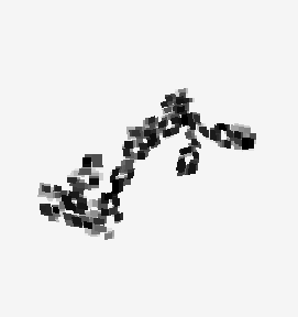 Cc1c(S(C)(=O)=O)c(-c2cc(F)cc(N3CCN(c4ccc(NS(=O)(=O)c5ccc(N[C@H](CCN6CCC(C)(O)CC6)CSc6ccccc6)c(S(=O)(=O)C(F)(F)F)c5)cc4)CC3)c2)c(-c2ccc(Cl)cc2)n1C